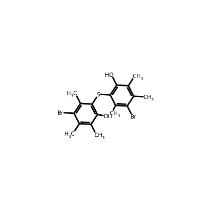 Cc1c(C)c(Br)c(C)c(Sc2c(C)c(Br)c(C)c(C)c2O)c1O